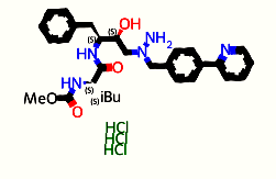 CC[C@H](C)[C@H](NC(=O)OC)C(=O)N[C@@H](Cc1ccccc1)[C@@H](O)CN(N)Cc1ccc(-c2ccccn2)cc1.Cl.Cl.Cl